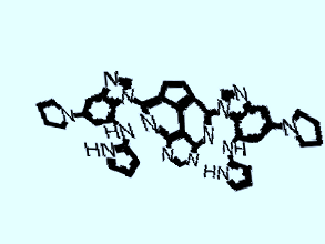 C1=CC2=C(n3cnc4cc(N5CCCC5)cc(Nc5ccc[nH]5)c43)N=C3N=CN=C4N=C(n5cnc6cc(N7CCCC7)cc(Nc7ccc[nH]7)c65)C1=C2C43